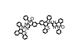 O=c1c2cc(-c3ccc4c(c3)c3c5ccccc5sc3c3c4c4ccccc4n3-c3cnc4c(n3)c3ccccc3c(=O)n4-c3ccccc3)ccc2c2cnc(-n3c4ccccc4c4c5ccccc5c5c6ccccc6sc5c43)nc2n1-c1ccccc1